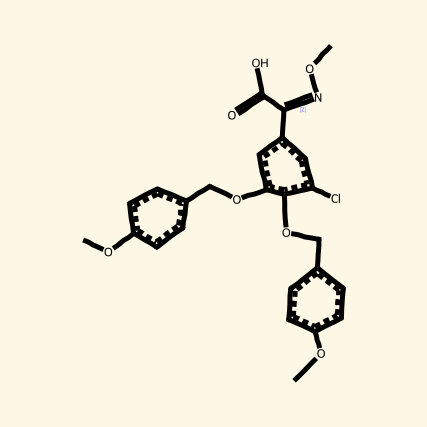 CO/N=C(\C(=O)O)c1cc(Cl)c(OCc2ccc(OC)cc2)c(OCc2ccc(OC)cc2)c1